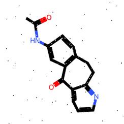 CC(=O)Nc1ccc2c(c1)C(=O)c1cccnc1CC2